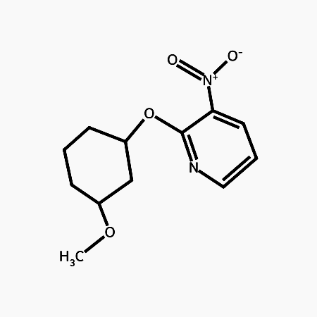 COC1CCCC(Oc2ncccc2[N+](=O)[O-])C1